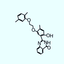 Cc1ccc(C)c(OCCOc2cc(-c3nc4ccccc4c(=O)[nH]3)c(O)cc2C)c1